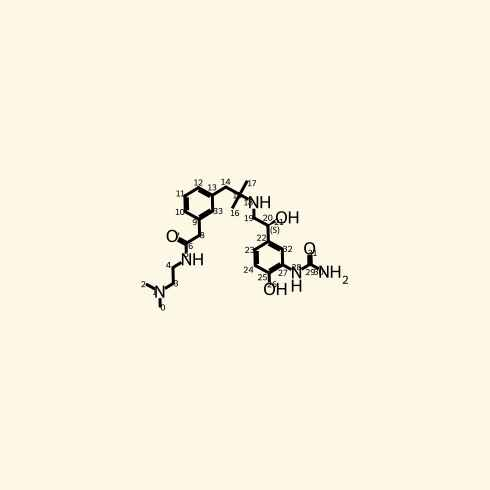 CN(C)CCNC(=O)Cc1cccc(CC(C)(C)NC[C@@H](O)c2ccc(O)c(NC(N)=O)c2)c1